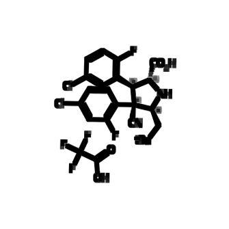 CC(C)(C)C[C@@H]1N[C@@H](C(=O)O)[C@H](c2cc(Cl)ccc2F)[C@@]1(C#N)c1ccc(Cl)cc1F.O=C(O)C(F)(F)F